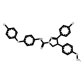 COc1ccc(C2CN(C(=O)Nc3ccc(Oc4ccc(Cl)cc4)cc3)N=C2c2ccc(Cl)cc2)cc1